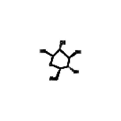 CO[C@H]1OC(O)[C@H](O)[C@@H](O)[C@@H]1O